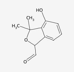 CC1(C)OC(C=O)c2cccc(O)c21